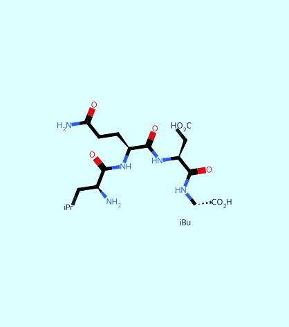 CC[C@H](C)[C@H](NC(=O)[C@H](CC(=O)O)NC(=O)[C@H](CCC(N)=O)NC(=O)[C@@H](N)CC(C)C)C(=O)O